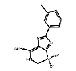 CCC[N+]1([O-])CNC(SC)=C2N=C(c3cccc(I)c3)N=C21